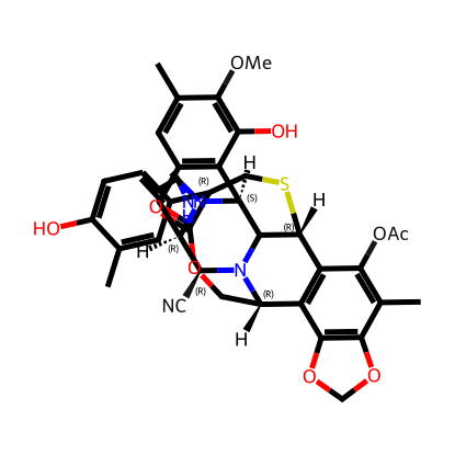 COc1c(C)cc2c(c1O)[C@H]1C3[C@@H]4SC[C@]5(NCCc6cc(O)c(C)cc65)C(=O)OC[C@@H](c5c6c(c(C)c(OC(C)=O)c54)OCO6)N3[C@@H](C#N)[C@@H](C2)N1C